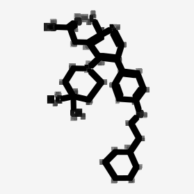 Cc1ncc(-c2ccc(OCCC3CCCCC3)cc2)c(N2CCC(C)(C)CC2)c1CC(=O)O